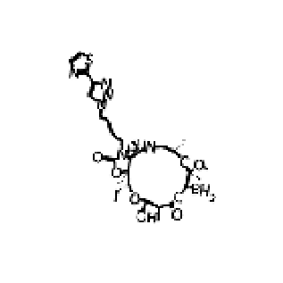 B[C@@H]1CC(=O)[C@@H](C)C(O)O[C@H](CC)[C@@]2(C)OC(=O)N(CCCCn3cc(-c4nccs4)nn3)[C@@H]2[C@@H](C)NC[C@H](C)C[C@@]1(C)OC